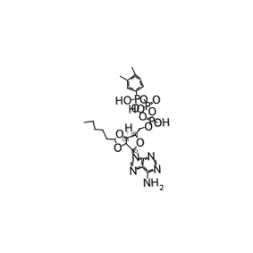 CCCCCC1OC2[C@@H](O1)[C@@H](COP(=O)(O)OP(=O)(O)OP(=O)(O)c1ccc(C)c(C)c1)O[C@H]2n1cnc2c(N)ncnc21